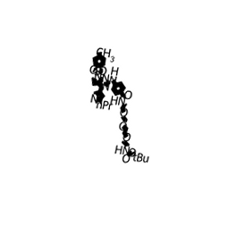 CCCn1cc(-c2nc(Nc3ccc(C(=O)NCCOCCOCCOCCNC(=O)OC(C)(C)C)cc3)nc3c2ccn3S(=O)(=O)c2ccc(C)cc2)cn1